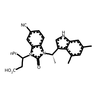 CCCC(CC(=O)O)n1c(=O)n([C@@H](C)c2c[nH]c3cc(C)cc(C)c23)c2ccc(C#N)cc21